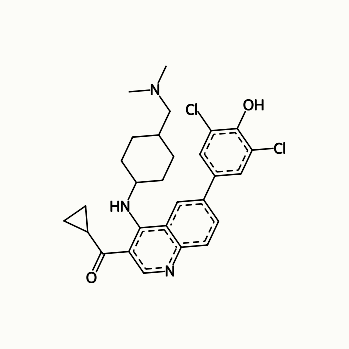 CN(C)CC1CCC(Nc2c(C(=O)C3CC3)cnc3ccc(-c4cc(Cl)c(O)c(Cl)c4)cc23)CC1